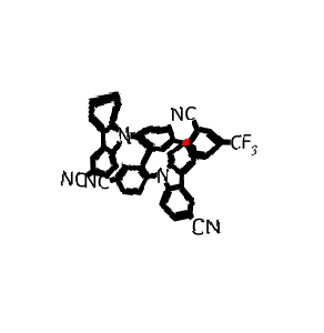 N#Cc1ccc(-n2c3ccccc3c3cc(C#N)ccc32)c(-c2cc(-c3ccc(C(F)(F)F)cc3C#N)ccc2-n2c3ccccc3c3cc(C#N)ccc32)c1